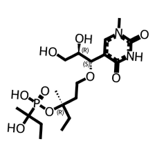 CCC(C)(O)P(=O)(O)O[C@](C)(CC)CCO[C@@H](c1cn(C)c(=O)[nH]c1=O)[C@H](O)CO